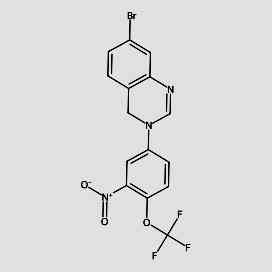 O=[N+]([O-])c1cc(N2C=Nc3cc(Br)ccc3C2)ccc1OC(F)(F)F